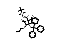 C=CCON1C(=O)[C@]2([C@@H](C)O[Si](C)(C)C(C)(C)C)C(=O)C(=O)[C@@]12SC(c1ccccc1)(c1ccccc1)c1ccccc1